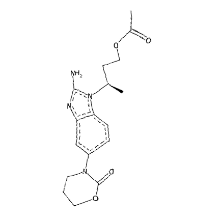 CC(=O)OCC[C@@H](C)n1c(N)nc2cc(N3CCCOC3=O)ccc21